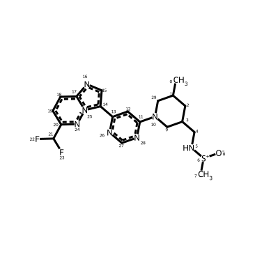 CC1CC(CN[S+](C)[O-])CN(c2cc(-c3cnc4ccc(C(F)F)nn34)ncn2)C1